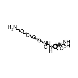 Cc1cc(NCC(=O)NCCOCCOCCOCCOCCCN)ccc1C(=O)NC(=N)S